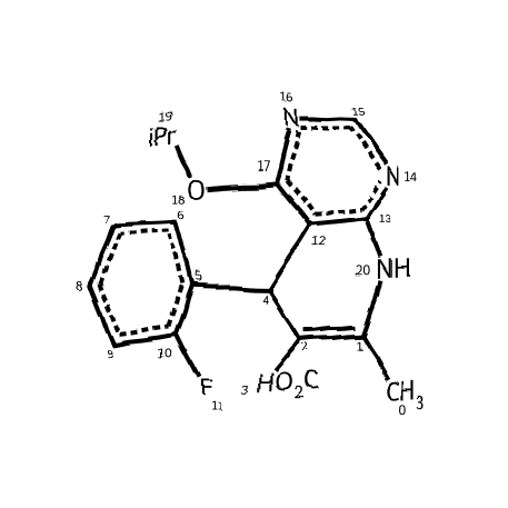 CC1=C(C(=O)O)C(c2ccccc2F)c2c(ncnc2OC(C)C)N1